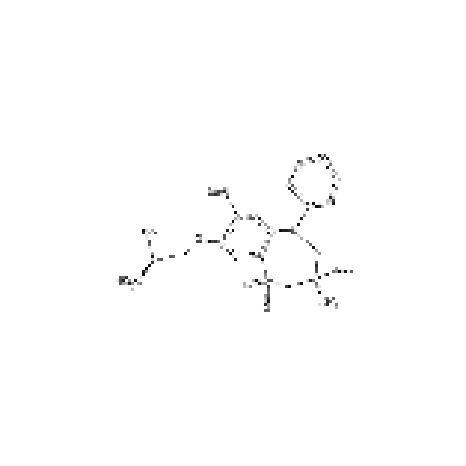 CCCCC1(C)CN(c2ccccc2)c2cc(SC)c(OC[C@H](O)C(=O)O)cc2S(=O)(=O)C1